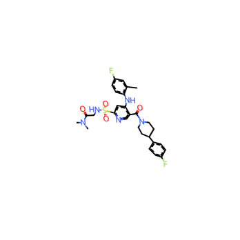 Cc1cc(F)ccc1Nc1cc(S(=O)(=O)NCC(=O)N(C)C)ncc1C(=O)N1CCC(c2ccc(F)cc2)CC1